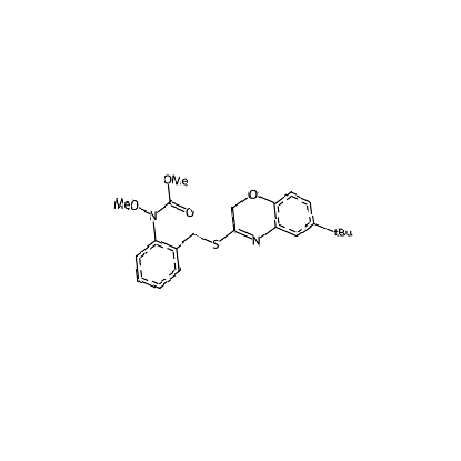 COC(=O)N(OC)c1ccccc1CSC1=Nc2cc(C(C)(C)C)ccc2OC1